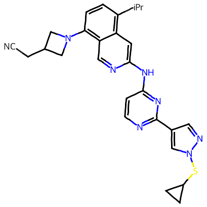 CC(C)c1ccc(N2CC(CC#N)C2)c2cnc(Nc3ccnc(-c4cnn(SC5CC5)c4)n3)cc12